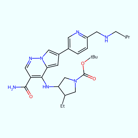 CCC1CN(C(=O)OC(C)(C)C)CC1Nc1c(C(N)=O)cnn2cc(-c3ccc(CNCC(C)C)nc3)cc12